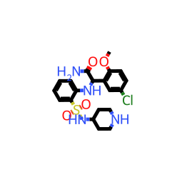 COc1ccc(Cl)cc1C(Nc1ccccc1S(=O)(=O)NC1CCNCC1)C(N)=O